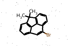 CC1(C)c2cccc3cc(Br)c4cccc1c4c23